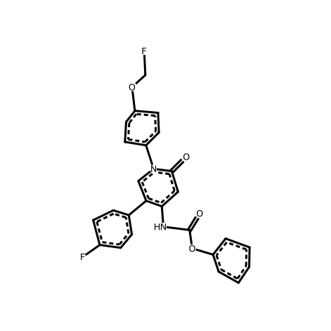 O=C(Nc1cc(=O)n(-c2ccc(OCF)cc2)cc1-c1ccc(F)cc1)Oc1ccccc1